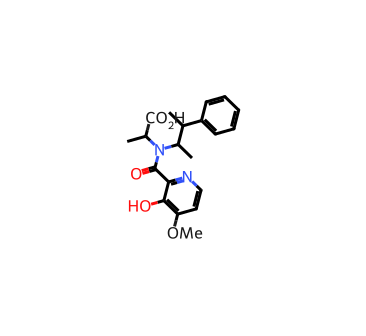 COc1ccnc(C(=O)N(C(C)C(=O)O)C(C)C(C)c2ccccc2)c1O